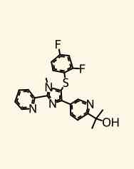 Cn1c(-c2ccccn2)nc(-c2ccc(C(C)(C)O)nc2)c1Sc1ccc(F)cc1F